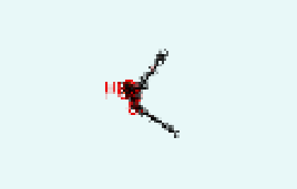 CC#CC#CC#CC#CC#CC#CC(=O)OC[C@H](COP(=O)(O)O)OC(=O)CCCCCCCCCCCCCC